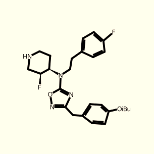 CC(C)COc1ccc(Cc2noc(N(CCc3ccc(F)cc3)[C@@H]3CCNC[C@@H]3F)n2)cc1